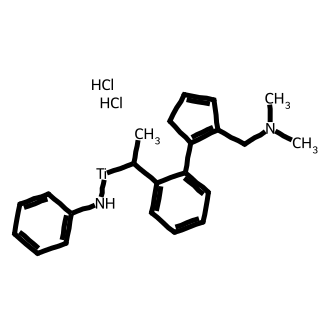 C[CH]([Ti][NH]c1ccccc1)c1ccccc1C1=C(CN(C)C)C=CC1.Cl.Cl